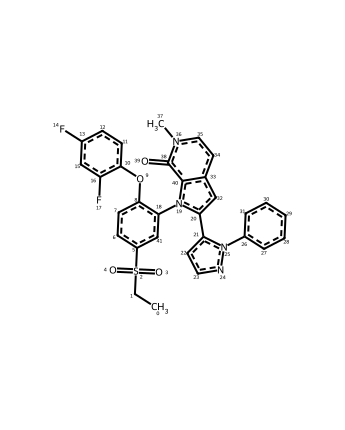 CCS(=O)(=O)c1ccc(Oc2ccc(F)cc2F)c(-n2c(-c3ccnn3-c3ccccc3)cc3ccn(C)c(=O)c32)c1